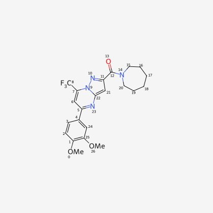 COc1ccc(-c2cc(C(F)(F)F)n3nc(C(=O)N4CCCCCC4)cc3n2)cc1OC